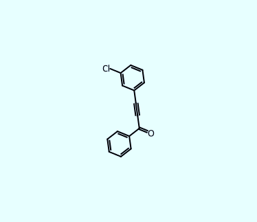 O=C(C#Cc1cccc(Cl)c1)c1ccccc1